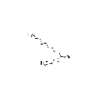 CC=COCCCCCC(CCCC)OC=CC